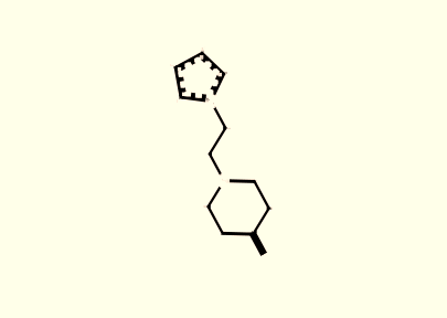 O=C1CCN(CCn2cccc2)CC1